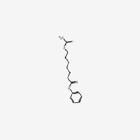 CC(=O)OCCCCCCC(=O)Oc1ccccc1